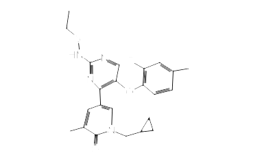 CCSNc1ncc(Oc2ccc(F)cc2F)c(-c2cc(C)c(=O)n(CC3CC3)c2)n1